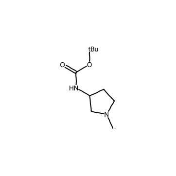 [CH2]N1CCC(NC(=O)OC(C)(C)C)C1